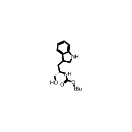 CC(C)(C)OC(=O)N[C@H](CO)CC1CNc2ccccc21